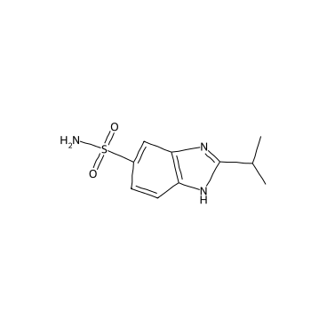 CC(C)c1nc2cc(S(N)(=O)=O)ccc2[nH]1